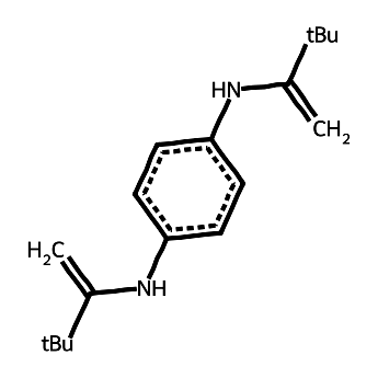 C=C(Nc1ccc(NC(=C)C(C)(C)C)cc1)C(C)(C)C